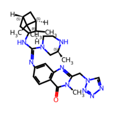 C[C@H]1CN(C(=Nc2ccc3c(=O)n(C)c(Cn4cnnn4)nc3c2)NC2C[C@@H]3C[C@@H]([C@H]2C)C3(C)C)CCN1